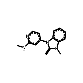 C=C1N(C)c2ccccc2N1c1ccnc(NC)c1